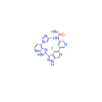 CCCCC(=O)Nc1cncc(-c2ncc3[nH]nc(-c4nc5c(-n6cnc(C)c6)ccnc5[nH]4)c3c2F)c1